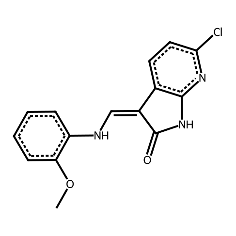 COc1ccccc1NC=C1C(=O)Nc2nc(Cl)ccc21